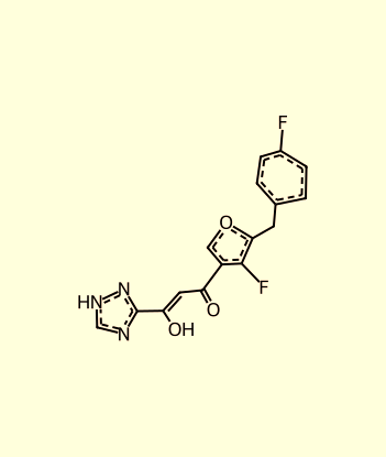 O=C(C=C(O)c1nc[nH]n1)c1coc(Cc2ccc(F)cc2)c1F